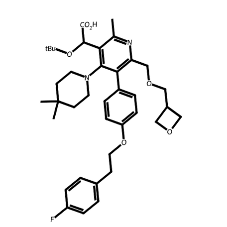 Cc1nc(COCC2COC2)c(-c2ccc(OCCc3ccc(F)cc3)cc2)c(N2CCC(C)(C)CC2)c1C(OC(C)(C)C)C(=O)O